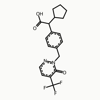 O=C(O)C(c1ccc(Cn2nccc(C(F)(F)F)c2=O)cc1)C1CCCC1